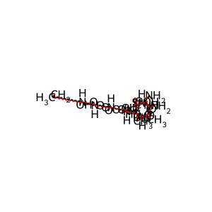 C=C(C)CCCCCCCCCCCCCCC(O)NCCCCCC(=O)NCCOCCOCC(=O)NCCOCCOCC(=O)NCCCC[C@@H]1NC(=O)[C@H](CCC)NC(=O)[C@@H](NC(C)=O)CSSCC(CC(N)=O)NC(O)C(CCCCN)NC(=O)C[C@H](Cc2ccccc2)NC1O